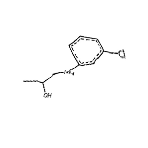 CC(O)CNc1cccc(Cl)c1